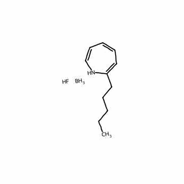 B.CCCCCC1=CC=CC=CN1.F